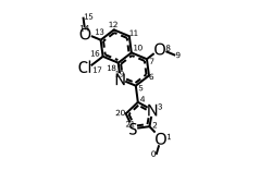 COc1nc(-c2cc(OC)c3ccc(OC)c(Cl)c3n2)cs1